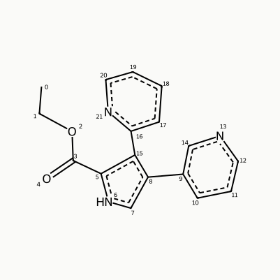 CCOC(=O)c1[nH]cc(-c2cccnc2)c1-c1ccccn1